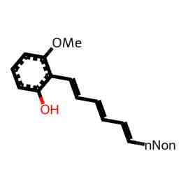 CCCCCCCCCC=CC=CC=Cc1c(O)cccc1OC